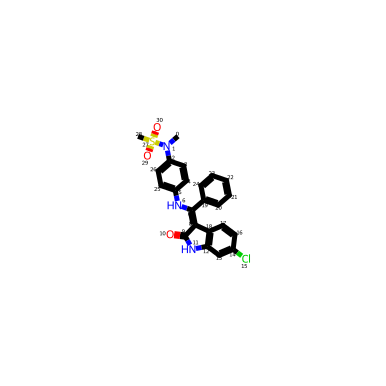 CN(c1ccc(N/C(=C2\C(=O)Nc3cc(Cl)ccc32)c2ccccc2)cc1)S(C)(=O)=O